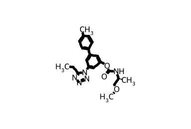 CCc1nnnn1-c1cc(OC(=O)N[C@H](C)COC)cc(-c2ccc(C)cc2)c1